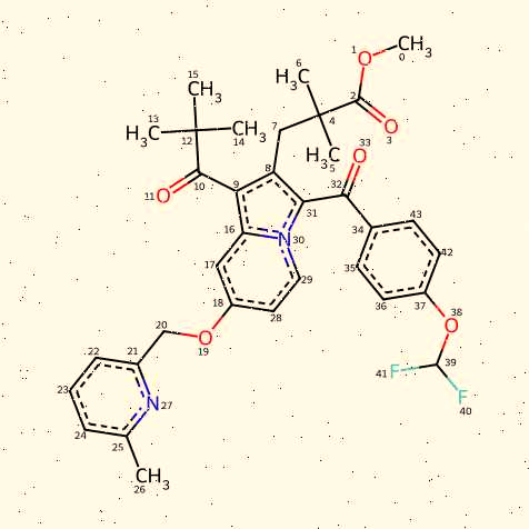 COC(=O)C(C)(C)Cc1c(C(=O)C(C)(C)C)c2cc(OCc3cccc(C)n3)ccn2c1C(=O)c1ccc(OC(F)F)cc1